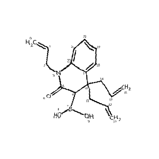 C=CCN1C(=O)C(B(O)O)C(CC=C)(CC=C)c2ccccc21